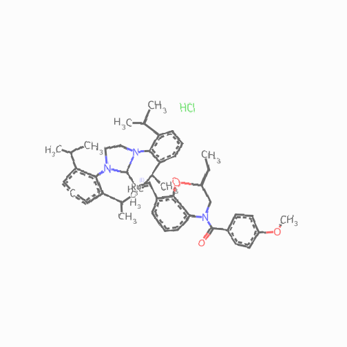 CCC1CN(C(=O)c2ccc(OC)cc2)c2cccc(/[CH]=[Ru]/[CH]3N(c4c(C(C)C)cccc4C(C)C)CCN3c3c(C(C)C)cccc3C(C)C)c2O1.Cl